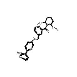 CC1CCCC(C)N1C(=O)c1cccc(COc2ccc(-c3ccn[nH]3)nc2)c1